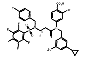 C[C@@H](CC(=O)N(Cc1cc(C2CC2)cc(C(C)(C)C)c1)c1ccc(C(=O)O)c(O)c1)N(Cc1ccc(Cl)cc1)S(=O)(=O)c1c(F)c(F)c(F)c(F)c1F